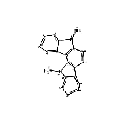 Nn1c2ccccc2c2c1ccc1c3ccccc3n(N)c12